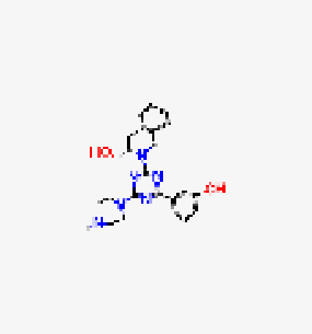 CN1CCN(c2nc(-c3cccc(O)c3)nc(N3Cc4ccccc4C[C@H]3CO)n2)CC1